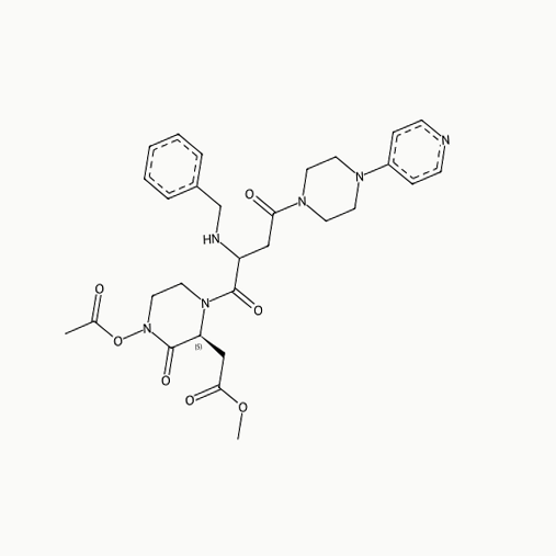 COC(=O)C[C@H]1C(=O)N(OC(C)=O)CCN1C(=O)C(CC(=O)N1CCN(c2ccncc2)CC1)NCc1ccccc1